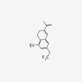 C=C(C)C1=Cc2cc(CC(F)(F)F)cc(CC)c2CC1